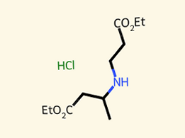 CCOC(=O)CCNC(C)CC(=O)OCC.Cl